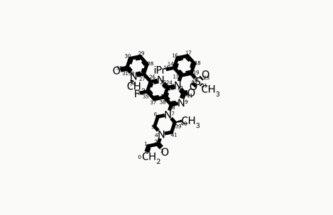 C=CC(=O)N1CCN(c2nc(=O)n(-c3c(C(C)C)cccc3S(C)(=O)=O)c3nc(-c4cccc(=O)n4C)c(F)cc23)[C@@H](C)C1